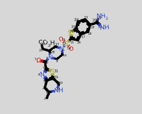 CC1Cc2nc(C(=O)N3CCN(S(=O)(=O)c4cc5cc(C(=N)N)ccc5s4)CC3CC(=O)O)sc2CN1